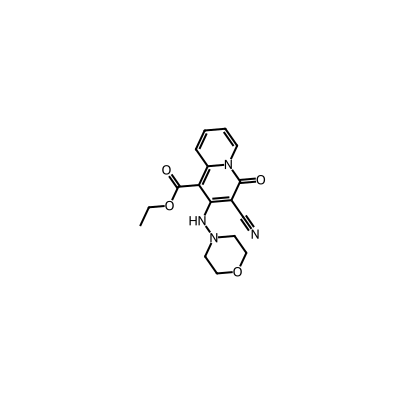 CCOC(=O)c1c(NN2CCOCC2)c(C#N)c(=O)n2ccccc12